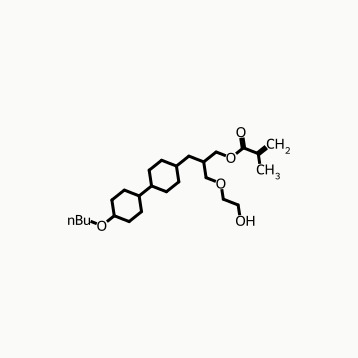 C=C(C)C(=O)OCC(COCCO)CC1CCC(C2CCC(OCCCC)CC2)CC1